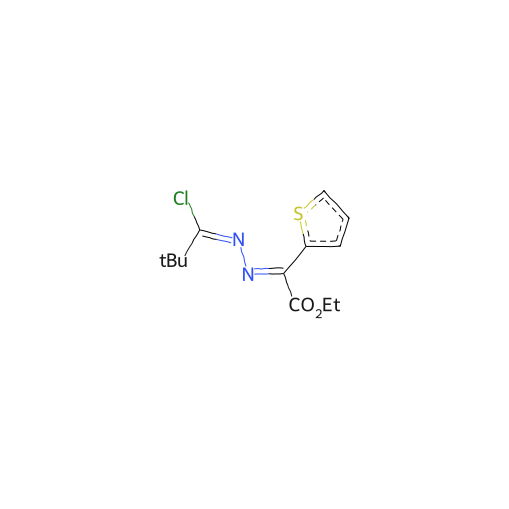 CCOC(=O)/C(=N/N=C(/Cl)C(C)(C)C)c1cccs1